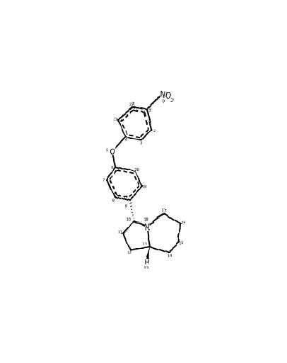 O=[N+]([O-])c1ccc(Oc2ccc([C@H]3CC[C@H]4CCCCN43)cc2)cc1